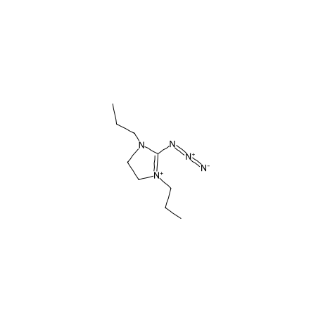 CCCN1CC[N+](CCC)=C1N=[N+]=[N-]